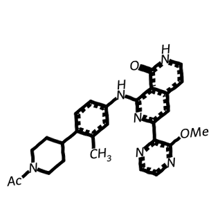 COc1nccnc1-c1cc2cc[nH]c(=O)c2c(Nc2ccc(C3CCN(C(C)=O)CC3)c(C)c2)n1